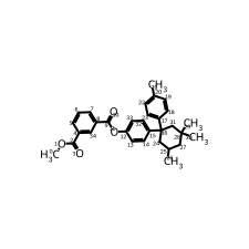 COC(=O)c1cccc(C(=O)Oc2ccc(C3(c4ccc(C)cc4)CC(C)CC(C)(C)C3)cc2)c1